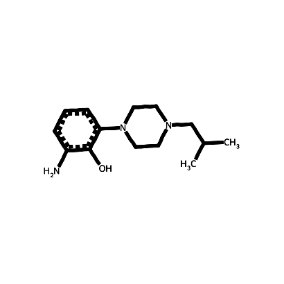 C[C](C)CN1CCN(c2cccc(N)c2O)CC1